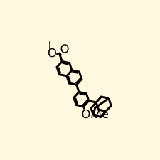 COc1ccc(-c2ccc3cc(C(=O)OI)ccc3c2)cc1C12CC3CC(CC(C3)C1)C2